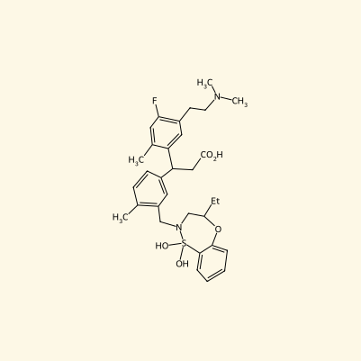 CCC1CN(Cc2cc(C(CC(=O)O)c3cc(CCN(C)C)c(F)cc3C)ccc2C)S(O)(O)c2ccccc2O1